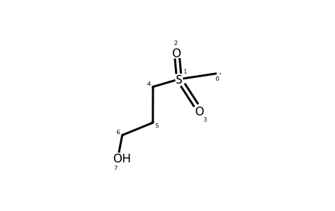 [CH2]S(=O)(=O)CCCO